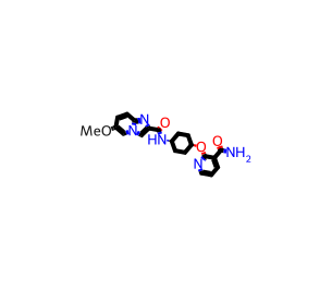 COc1ccc2nc(C(=O)N[C@H]3CC[C@H](Oc4ncccc4C(N)=O)CC3)cn2c1